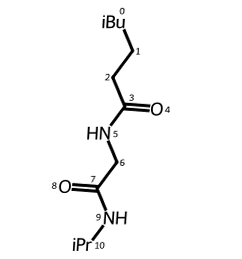 CCC(C)CCC(=O)NCC(=O)NC(C)C